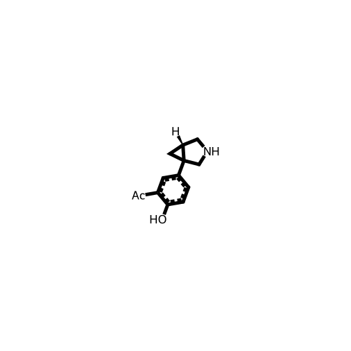 CC(=O)c1cc(C23CNC[C@H]2C3)ccc1O